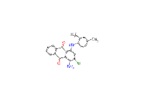 Cc1ccc(Nc2cc(Br)c(N)c3c2C(=O)c2ccccc2C3=O)c(C)c1